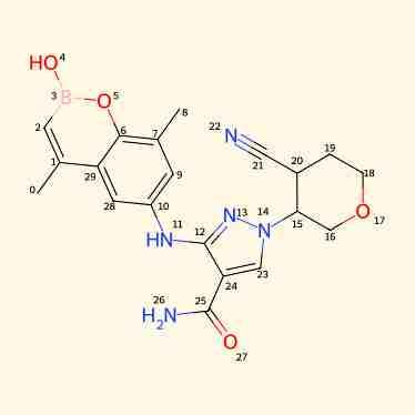 CC1=CB(O)Oc2c(C)cc(Nc3nn(C4COCCC4C#N)cc3C(N)=O)cc21